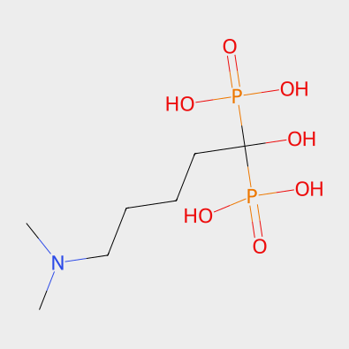 CN(C)CCCCC(O)(P(=O)(O)O)P(=O)(O)O